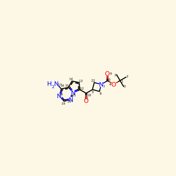 CC(C)(C)OC(=O)N1CC(C(=O)c2ccc3c(N)ncnn23)C1